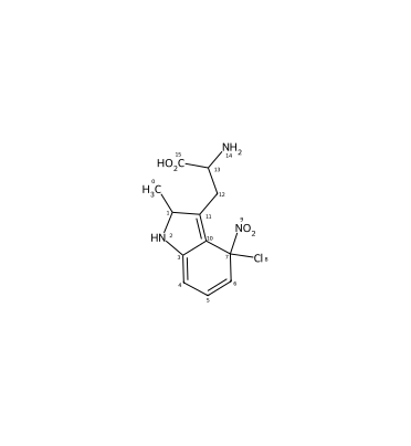 CC1NC2=CC=CC(Cl)([N+](=O)[O-])C2=C1CC(N)C(=O)O